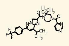 CC(C)c1cc(-c2ccc(C(F)(F)F)cc2)nn2cc(C(=O)N3CCN(C(=O)c4ccncn4)CC3(C)C)nc12